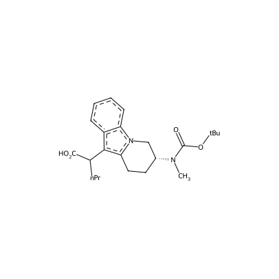 CCCC(C(=O)O)c1c2n(c3ccccc13)C[C@H](N(C)C(=O)OC(C)(C)C)CC2